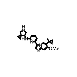 COc1cc2ncc(-c3cccc(NC4CNCC45CC5)n3)n2cc1C1(C)CC1